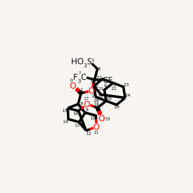 O=C(OC(CS(=O)(=O)O)(C(F)(F)F)C(F)(F)F)C1C2COC3C2CC1C3OC(=O)C12CC3CC(CC(C3)C1)C2